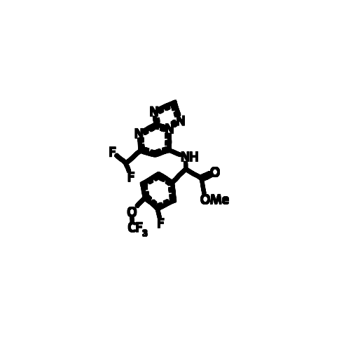 COC(=O)C(Nc1cc(C(F)F)nc2ncnn12)c1ccc(OC(F)(F)F)c(F)c1